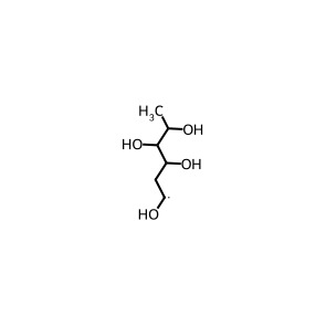 CC(O)C(O)C(O)C[CH]O